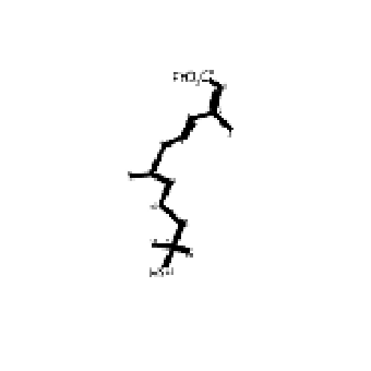 CCOC(=O)C=C(C)C=CCC(C)CCCC(C)(C)S